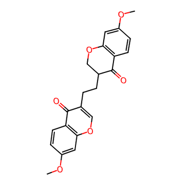 COc1ccc2c(c1)OCC(CCc1coc3cc(OC)ccc3c1=O)C2=O